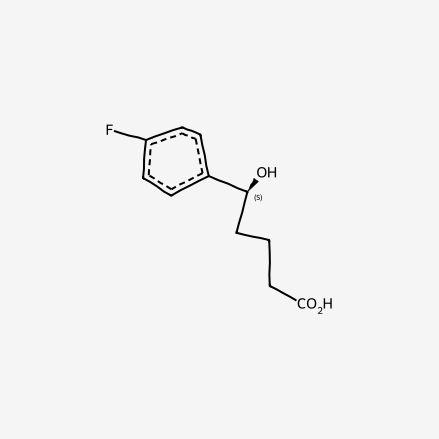 O=C(O)CCC[C@H](O)c1ccc(F)cc1